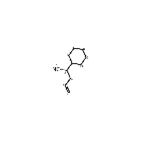 C=CCC(C#N)C1CCCCC1